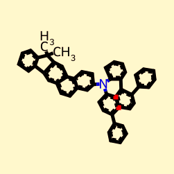 CC1(C)c2ccccc2-c2cc3ccc4cc(N(c5ccc(-c6ccccc6)cc5)c5ccccc5-c5ccccc5-c5ccccc5)ccc4c3cc21